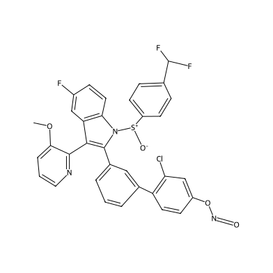 COc1cccnc1-c1c(-c2cccc(-c3ccc(ON=O)cc3Cl)c2)n([S+]([O-])c2ccc(C(F)F)cc2)c2ccc(F)cc12